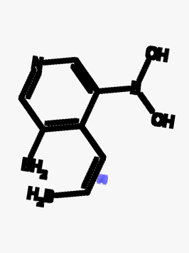 B/C=C\c1c(B)cncc1B(O)O